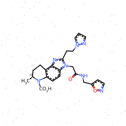 C[C@H]1CCc2c(ccc3c2nc(CCn2cccn2)n3CC(=O)NCc2ccno2)N1C(=O)O